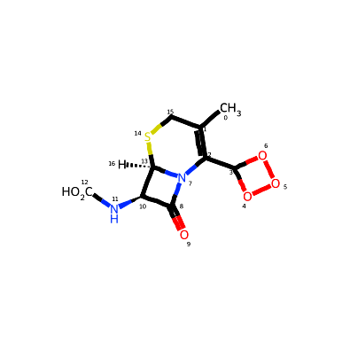 CC1=C(C2OOO2)N2C(=O)[C@@H](NC(=O)O)[C@H]2SC1